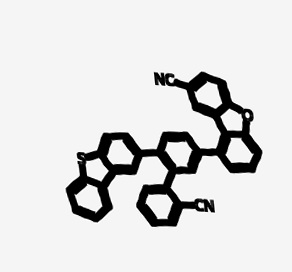 N#Cc1ccc2oc3cccc(-c4ccc(-c5ccc6sc7ccccc7c6c5)c(-c5ccccc5C#N)c4)c3c2c1